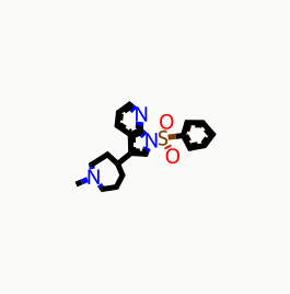 CN1CCCC(c2cn(S(=O)(=O)c3ccccc3)c3ncccc23)CC1